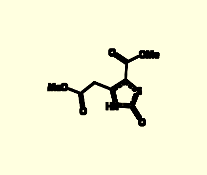 COC(=O)Cc1[nH]c(=O)sc1C(=O)OC